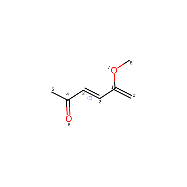 C=C(/C=C/C(C)=O)OC